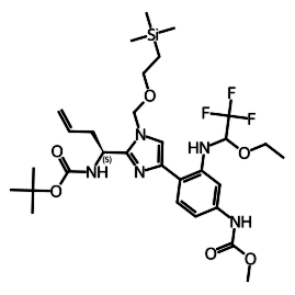 C=CC[C@H](NC(=O)OC(C)(C)C)c1nc(-c2ccc(NC(=O)OC)cc2NC(OCC)C(F)(F)F)cn1COCC[Si](C)(C)C